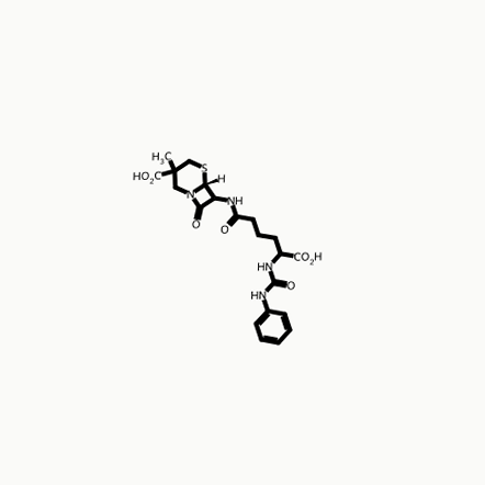 CC1(C(=O)O)CS[C@@H]2C(NC(=O)CCCC(NC(=O)Nc3ccccc3)C(=O)O)C(=O)N2C1